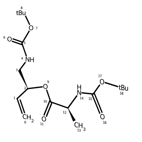 C=C[C@@H](CNC(=O)OC(C)(C)C)OC(=O)[C@H](C)NC(=O)OC(C)(C)C